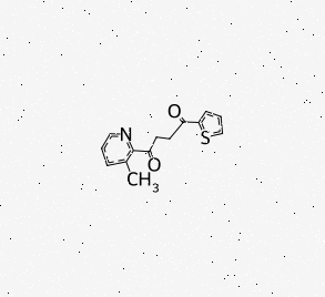 Cc1cccnc1C(=O)CCC(=O)c1cccs1